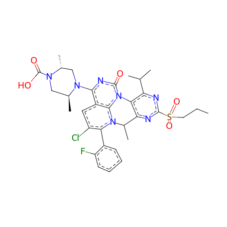 CCCS(=O)(=O)c1nc(C(C)C)c(-n2c(=O)nc(N3C[C@@H](C)N(C(=O)O)C[C@@H]3C)c3cc(Cl)c(-c4ccccc4F)nc32)c(C(C)C)n1